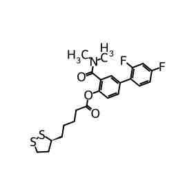 CN(C)C(=O)c1cc(-c2ccc(F)cc2F)ccc1OC(=O)CCCC[C@H]1CCSS1